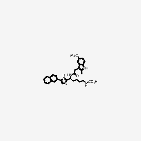 COc1ccc2[nH]c(C)c(CC(=O)N[C@@H](CCCCNC(=O)O)c3ncc(-c4ccc5ccccc5c4)[nH]3)c2c1